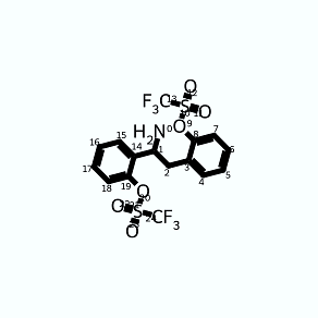 NC(Cc1ccccc1OS(=O)(=O)C(F)(F)F)c1ccccc1OS(=O)(=O)C(F)(F)F